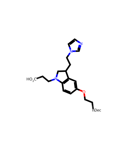 CCCCCCCCCCCCOc1ccc2c(c1)C(CCn1ccnc1)CN2CCC(=O)O